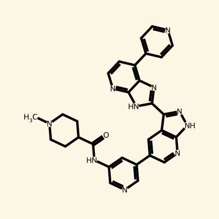 CN1CCC(C(=O)Nc2cncc(-c3cnc4[nH]nc(-c5nc6c(-c7ccncc7)ccnc6[nH]5)c4c3)c2)CC1